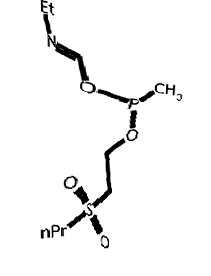 CCCS(=O)(=O)CCOP(C)OC=NCC